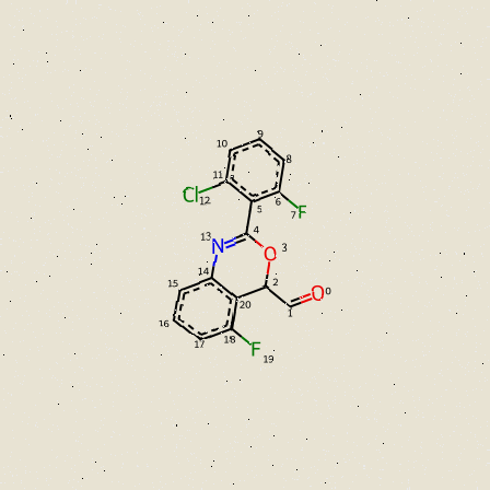 O=CC1OC(c2c(F)cccc2Cl)=Nc2cccc(F)c21